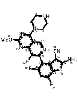 COc1nc(N2CCNCC2)c2cnc(-c3c(F)cc(F)c4sc(N)c(C#N)c34)c(F)c2n1